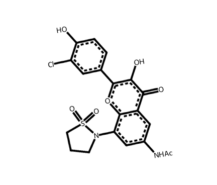 CC(=O)Nc1cc(N2CCCS2(=O)=O)c2oc(-c3ccc(O)c(Cl)c3)c(O)c(=O)c2c1